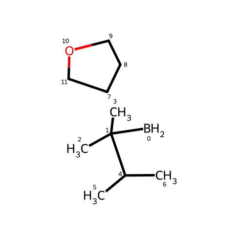 BC(C)(C)C(C)C.C1CCOC1